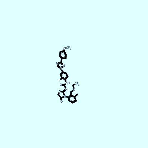 Cc1cccc(N2C(=O)CS/C2=N\C(=O)Nc2ccc(-n3cnc(-c4ccc(OC(F)(F)F)cc4)n3)cc2F)c1COCC(F)(F)F